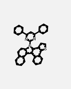 c1ccc(-c2cc(-c3ccccc3)nc(-n3c4ccc5ccccc5c4c4c5ccccc5c5sccc5c43)n2)cc1